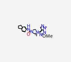 COc1nc(N2CCN(C(=O)Nc3ccc4c(c3)CCC4)C[C@@H]2C)c2cnn(C)c2n1